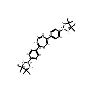 CC1(C)OB(c2ccc(C3=CCC(c4ccc(B5OC(C)(C)C(C)(C)O5)cc4)=NC=N3)cc2)OC1(C)C